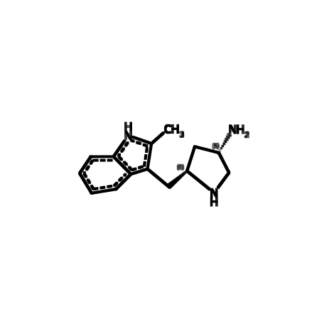 Cc1[nH]c2ccccc2c1C[C@H]1C[C@H](N)CN1